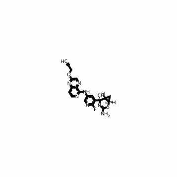 C#CCOc1cnc2c(Nc3cnc(F)c([C@]4(C)N=C(N)S[C@H]5C[C@H]54)c3)nccc2n1